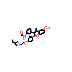 CCC1CN(CCOc2ccc([C@@H]3Oc4ccc(O)cc4C(C)=C3c3cccc(NC(C)=O)c3)cc2)C1